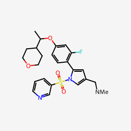 CNCc1cc(-c2ccc(OC(C)C3CCOCC3)cc2F)n(S(=O)(=O)c2cccnc2)c1